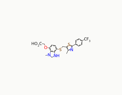 Cc1nc(-c2ccc(C(F)(F)F)cc2)sc1CSc1ccc(OCC(=O)O)c2c1NCN2C